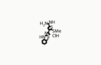 CSc1sc(C(=N)N)cc1-c1csc(Nc2ccccc2F)n1.Cl